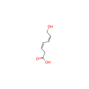 O=C(O)C/C=C\C=C/CO